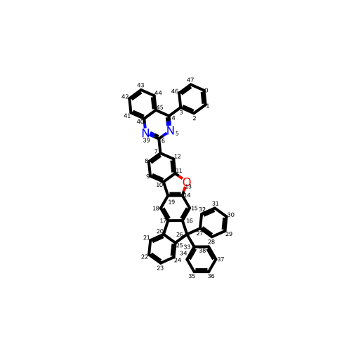 c1ccc(-c2nc(-c3ccc4c(c3)oc3cc5c(cc34)-c3ccccc3C5(c3ccccc3)c3ccccc3)nc3ccccc23)cc1